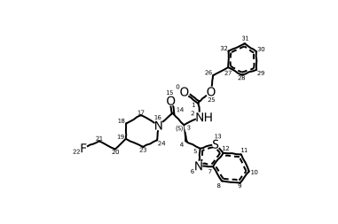 O=C(N[C@@H](Cc1nc2ccccc2s1)C(=O)N1CCC(CCF)CC1)OCc1ccccc1